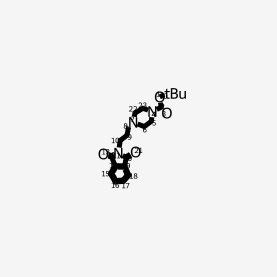 CC(C)(C)OC(=O)N1CCN(CCCN2C(=O)c3ccccc3C2=O)CC1